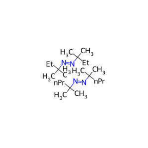 CCC(C)(C)/N=N/C(C)(C)CC.CCCC(C)(C)/N=N/C(C)(C)CCC